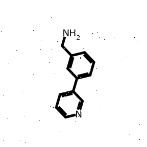 NCc1cccc(-c2c[c]cnc2)c1